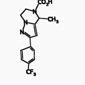 CC1c2cc(-c3ccc(C(F)(F)F)cc3)nn2CCN1C(=O)O